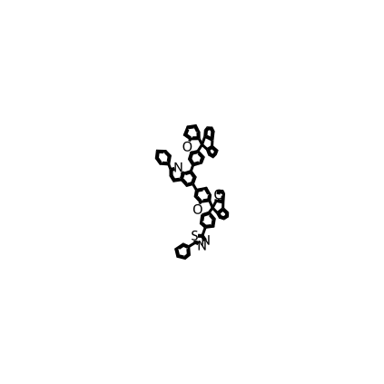 c1ccc(-c2ccc3cc(-c4ccc5c(c4)Oc4cc(-c6nnc(-c7ccccc7)s6)ccc4C54c5ccccc5-c5ccccc54)cc(-c4ccc5c(c4)Oc4ccccc4C54c5ccccc5-c5ccccc54)c3n2)cc1